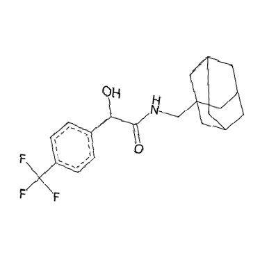 O=C(NCC12CC3CC(CC(C3)C1)C2)C(O)c1ccc(C(F)(F)F)cc1